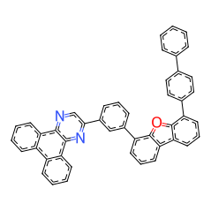 c1ccc(-c2ccc(-c3cccc4c3oc3c(-c5cccc(-c6cnc7c8ccccc8c8ccccc8c7n6)c5)cccc34)cc2)cc1